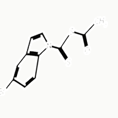 CC(=O)SC(=S)n1ccc2cc(Br)ccc21